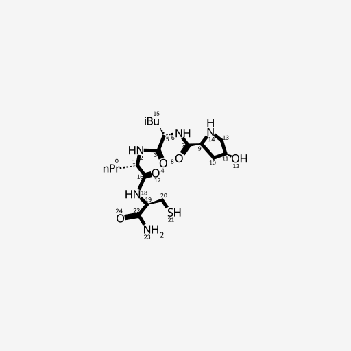 CCC[C@H](NC(=O)[C@@H](NC(=O)[C@@H]1C[C@@H](O)CN1)[C@@H](C)CC)C(=O)N[C@@H](CS)C(N)=O